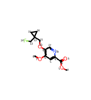 COC(=O)c1cc(OC)c(OCC2(CF)CC2)cn1